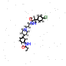 CCC(=O)Nc1cccc(C2CCN(CCCNC(=O)C(C)(C)c3ccc(Cl)cc3)CC2)c1